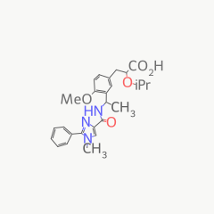 COc1ccc(CC(OC(C)C)C(=O)O)cc1C(C)NC(=O)c1cn(C)c(-c2ccccc2)n1